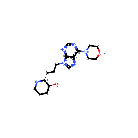 O[C@H]1CCCN[C@@H]1CCCn1cnc2c(N3CCOCC3)ncnc21